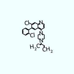 C=CC(=C)N1CCN(c2ccnc3cc(Cl)c(-c4ccccc4Cl)cc23)CC1